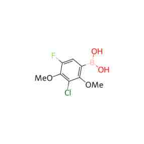 COc1c(F)cc(B(O)O)c(OC)c1Cl